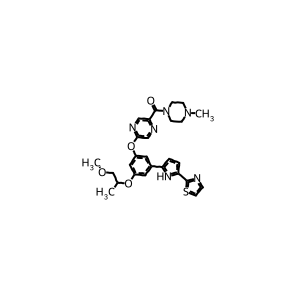 COCC(C)Oc1cc(Oc2cnc(C(=O)N3CCN(C)CC3)cn2)cc(-c2ccc(-c3nccs3)[nH]2)c1